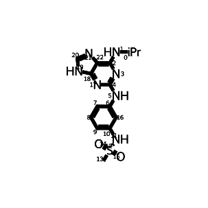 CC(C)Nc1nc(Nc2cccc(NS(C)(=O)=O)c2)nc2[nH]cnc12